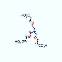 O=C(O)CCOCCN(COCCC(=O)O)COCCC(=O)O